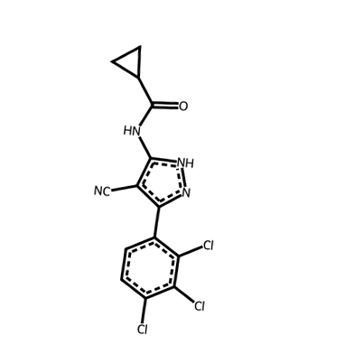 N#Cc1c(-c2ccc(Cl)c(Cl)c2Cl)n[nH]c1NC(=O)C1CC1